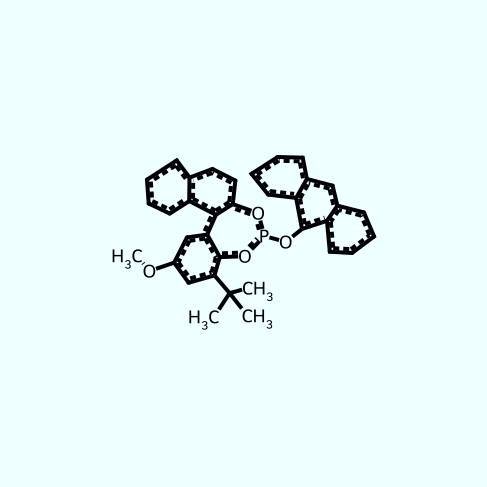 COc1cc(C(C)(C)C)c2op(Oc3c4ccccc4cc4ccccc34)oc3ccc4ccccc4c3c2c1